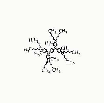 CCCCCCN(CCCCCC)c1ccc(N(c2ccc(N(c3ccc(N(CCCCCC)CCCCCC)c(C)c3)c3ccc(N(CCCCCC)CCCCCC)c(C)c3)cc2)c2ccc(N(CCCCCC)CCCCCC)c(C)c2)cc1C